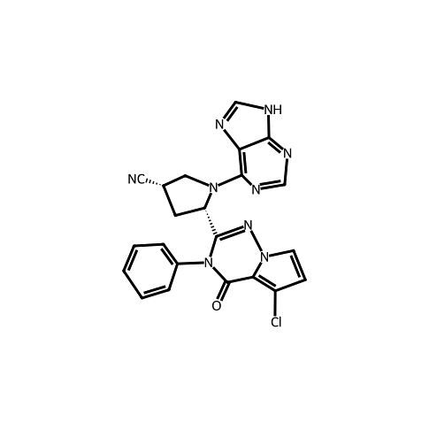 N#C[C@H]1C[C@@H](c2nn3ccc(Cl)c3c(=O)n2-c2ccccc2)N(c2ncnc3[nH]cnc23)C1